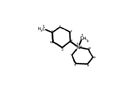 CC1CCC([N+]2(C)CCCCC2)CC1